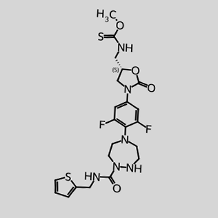 COC(=S)NC[C@H]1CN(c2cc(F)c(N3CCNN(C(=O)NCc4cccs4)CC3)c(F)c2)C(=O)O1